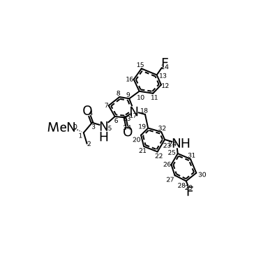 CN[C@@H](C)C(=O)Nc1ccc(-c2ccc(F)cc2)n(Cc2cccc(Nc3ccc(F)cc3)c2)c1=O